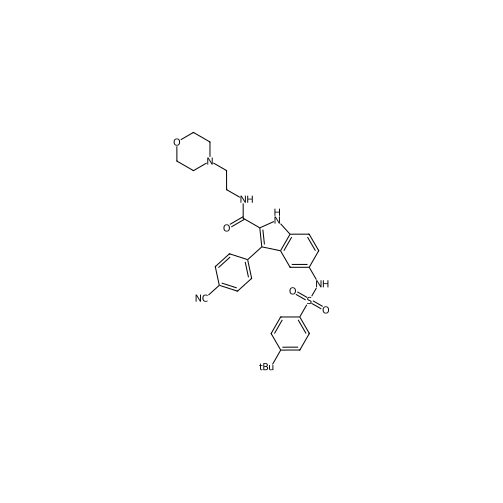 CC(C)(C)c1ccc(S(=O)(=O)Nc2ccc3[nH]c(C(=O)NCCN4CCOCC4)c(-c4ccc(C#N)cc4)c3c2)cc1